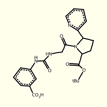 CC(C)(C)OC(=O)C1CCC(c2ccccn2)N1C(=O)CNC(=O)Nc1cccc(C(=O)O)c1